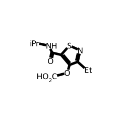 CCc1nsc(C(=O)NC(C)C)c1OC(=O)O